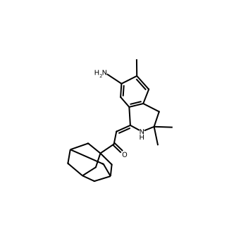 Cc1cc2c(cc1N)C(=CC(=O)C13CC4CC(CC(C4)C1)C3)NC(C)(C)C2